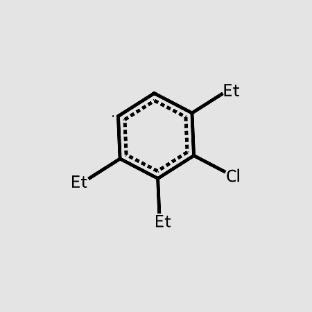 CCc1[c]cc(CC)c(Cl)c1CC